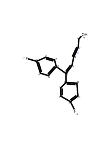 OC/C=C/C=C(c1ccc(F)cc1)c1ccc(F)cc1